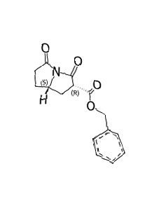 O=C(OCc1ccccc1)[C@@H]1C[C@@H]2CCC(=O)N2C1=O